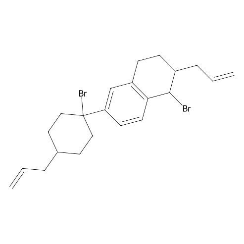 C=CCC1CCC(Br)(c2ccc3c(c2)CCC(CC=C)C3Br)CC1